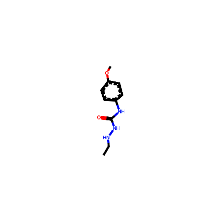 CCNNC(=O)Nc1ccc(OC)cc1